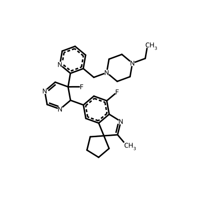 CCN1CCN(Cc2cccnc2C2(F)C=NC=NC2c2cc(F)c3c(c2)C2(CCCC2)C(C)=N3)CC1